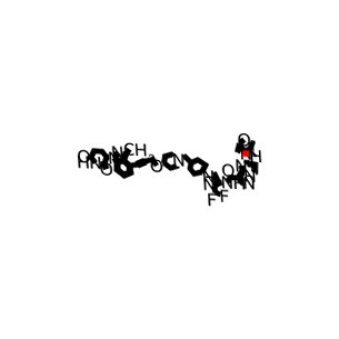 Cc1nn(C2CCC(=O)NC2=O)c2cccc(C#CCOC3CCN(CC4CCC(n5cc(NC(=O)c6cnn7ccc(N8CC9C[C@@H]8CO9)nc67)c(C(F)F)n5)CC4)CC3)c12